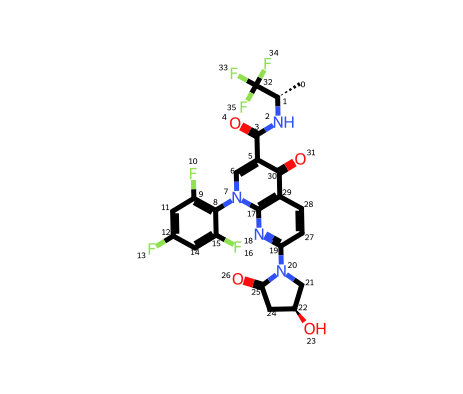 C[C@H](NC(=O)c1cn(-c2c(F)cc(F)cc2F)c2nc(N3C[C@@H](O)CC3=O)ccc2c1=O)C(F)(F)F